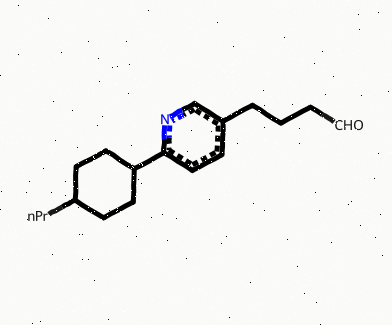 CCCC1CCC(c2ccc(CCCC=O)cn2)CC1